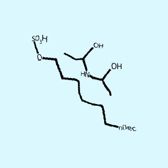 CC(O)NC(C)O.CCCCCCCCCCCCCCCCOS(=O)(=O)O